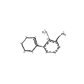 CC(C)(C)c1cccc(C2=CCCCC2)c1N